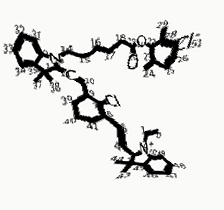 CC[N+]1=C(/C=C/C2=C(Cl)C(C=C=C3N(CCCCCC(=O)Oc4c(C)cccc4C)c4ccccc4C3(C)C)CCC2)C(C)(C)c2ccccc21.[Cl-]